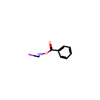 O=C(ONCI)c1ccccc1